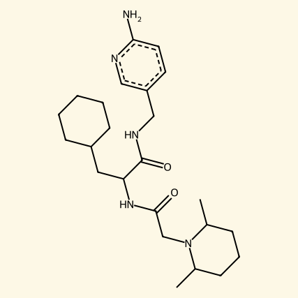 CC1CCCC(C)N1CC(=O)NC(CC1CCCCC1)C(=O)NCc1ccc(N)nc1